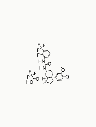 COc1ccc([C@@]23CC[C@@H](NC(=O)Nc4cccc(C(F)(F)F)c4F)C[C@@H]2N(C)CC3)cc1OC.O=C(O)C(F)(F)F